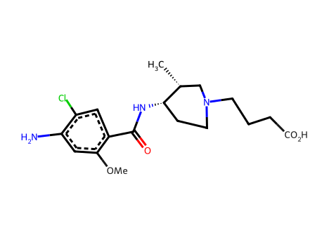 COc1cc(N)c(Cl)cc1C(=O)N[C@H]1CCN(CCCC(=O)O)C[C@H]1C